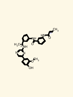 C/C=C/C(=O)Nc1cccc(C(=O)Nc2cccc([C@H](C)Nc3cncc(-c4ccc(O)c(OC)c4)n3)c2)c1